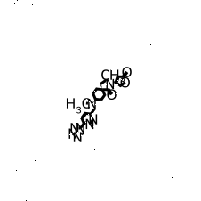 C[C@@H]1C[C@]2(CC[C@@H](N(C)Cc3ccc(-n4cnnn4)nn3)CC2)C(=O)N1C1=CC(=O)OC1